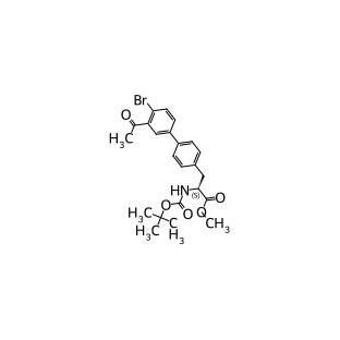 COC(=O)[C@H](Cc1ccc(-c2ccc(Br)c(C(C)=O)c2)cc1)NC(=O)OC(C)(C)C